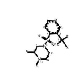 CC1CN(S(=O)(=O)c2ccccc2C(C)(C)C)CCN1C